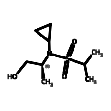 CC(C)S(=O)(=O)N(C1CC1)[C@@H](C)CO